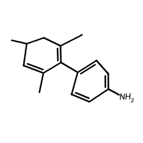 CC1=CC(C)CC(C)=C1c1ccc(N)cc1